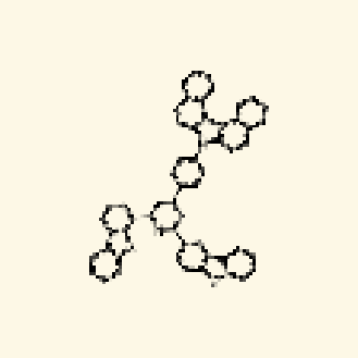 c1ccc2c(c1)ccc1c2c2c3ccccc3ccc2n1-c1ccc(-c2cc(-c3cccc4c3sc3ccccc34)nc(-c3ccc4sc5ccccc5c4c3)n2)cc1